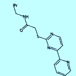 CC(C)CNC(=O)CSc1nccc(-c2ccccn2)n1